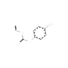 C=COC(=O)Oc1ccc(C(C)(C)C)cc1